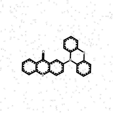 O=c1c2ccccc2sc2ccc(N3c4ccccc4Sc4ccccc43)cc12